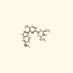 CC1CN(c2ncc(Cl)c(-n3ncc4cc(N)ccc43)n2)CC(C)N1